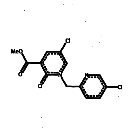 COC(=O)c1cc(Cl)cn(Cc2ccc(Cl)cn2)c1=O